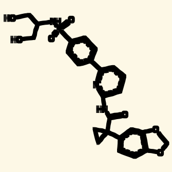 O=C(Nc1cccc(-c2ccc(S(=O)(=O)NC(CO)CO)cc2)n1)C1(c2ccc3c(c2)OCO3)CC1